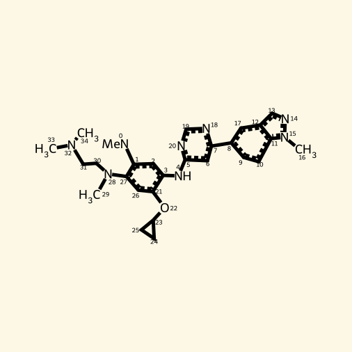 CNc1cc(Nc2cc(-c3ccc4c(cnn4C)c3)ncn2)c(OC2CC2)cc1N(C)CCN(C)C